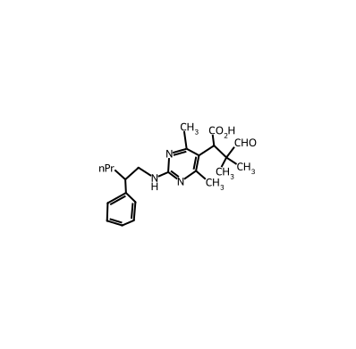 CCCC(CNc1nc(C)c(C(C(=O)O)C(C)(C)C=O)c(C)n1)c1ccccc1